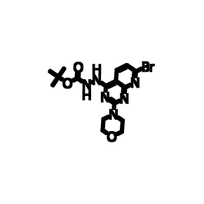 CC(C)(C)OC(=O)NNc1nc(N2CCOCC2)nc2nc(Br)ccc12